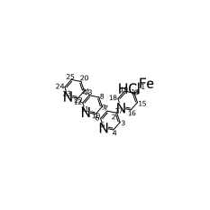 Cl.[Fe].c1ccncc1.c1ccncc1.c1ccncc1.c1ccncc1